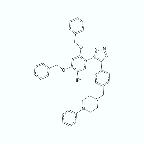 CC(C)c1cc(-n2nncc2-c2ccc(CN3CCN(c4ccccc4)CC3)cc2)c(OCc2ccccc2)cc1OCc1ccccc1